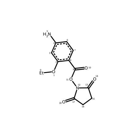 CCOc1cc(N)ccc1C(=O)ON1C(=O)CCC1=O